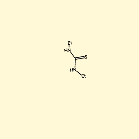 [CH2]CNC(=S)NCC